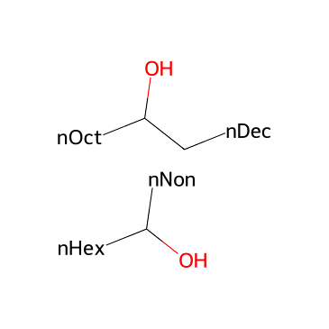 CCCCCCCCCC(O)CCCCCC.CCCCCCCCCCCC(O)CCCCCCCC